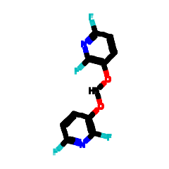 Fc1ccc(OBOc2ccc(F)nc2F)c(F)n1